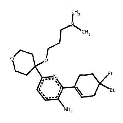 CCC1(CC)CC=C(c2nc(C3(OCCCN(C)C)CCOCC3)ccc2N)CC1